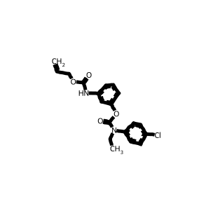 C=CCOC(=O)Nc1cccc(OC(=O)N(CC)c2ccc(Cl)cc2)c1